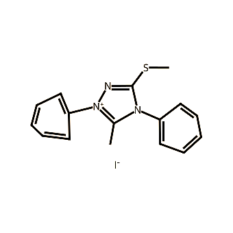 CSc1n[n+](-c2ccccc2)c(C)n1-c1ccccc1.[I-]